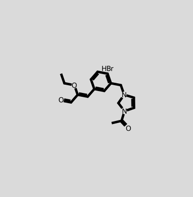 Br.CCOC(C=O)=Cc1cccc(CN2C=CN(C(C)=O)C2)c1